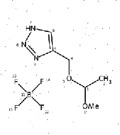 COC(C)OCc1c[nH]nn1.F[B-](F)(F)F